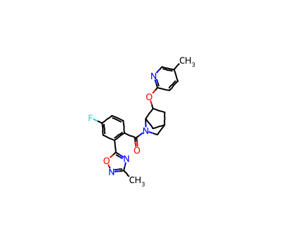 Cc1ccc(OC2CC3CC2N(C(=O)c2ccc(F)cc2-c2nc(C)no2)C3)nc1